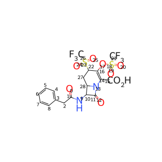 O=C(Cc1ccccc1)NC1C(=O)N2C(C(=O)O)=C(OS(=O)(=O)C(F)(F)F)C(S(=O)(=O)C(F)(F)F)CC12